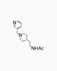 CC(=O)NCCC1CCN(Cc2cccnc2)CC1